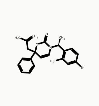 C=C(C)CC1(c2ccccc2)C=CN([C@@H](C)c2ccc(Br)cc2C)C(=O)O1